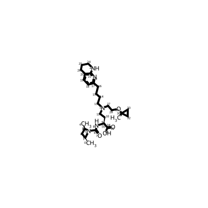 C[C@@H]1C[C@@H](C)N1C(=O)N[C@@H](CCN(CCCCc1ccc2c(n1)NCCC2)CCOC1(C)CC1)C(=O)O